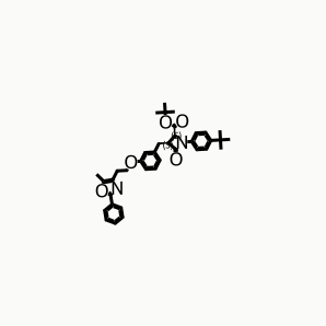 Cc1oc(-c2ccccc2)nc1CCOc1cccc(C[C@@H]2C(=O)N(c3ccc(C(C)(C)C)cc3)[C@@H]2C(=O)OC(C)(C)C)c1